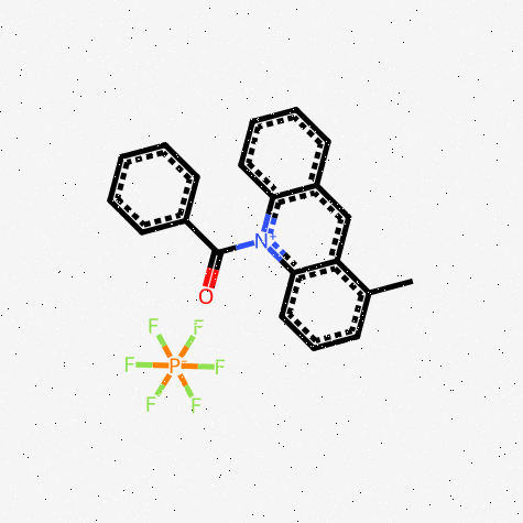 Cc1cccc2c1cc1ccccc1[n+]2C(=O)c1ccccc1.F[P-](F)(F)(F)(F)F